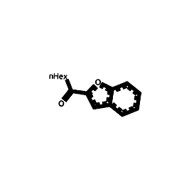 CCCCCCC(=O)c1cc2ccccc2o1